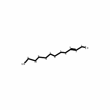 ICC=CCCCCCCCCI